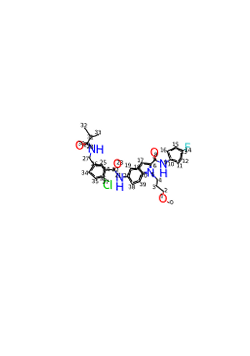 COCCCn1c(C(=O)Nc2ccc(F)cc2)cc2cc(NC(=O)c3cc(CNC(=O)C(C)C)ccc3Cl)ccc21